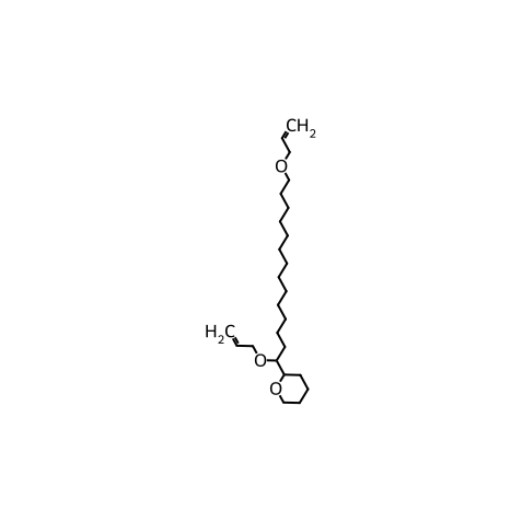 C=CCOCCCCCCCCCCCCCC(OCC=C)C1CCCCO1